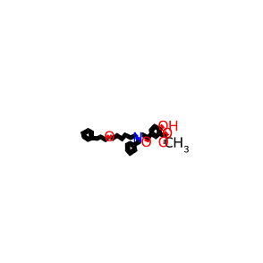 COC(=O)c1cc(C(=O)CN(CCCCCCOCCCc2ccccc2)Cc2ccccc2)ccc1O